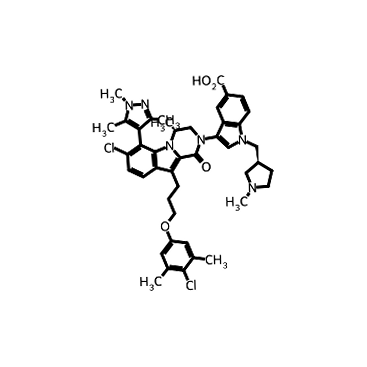 Cc1cc(OCCCc2c3n(c4c(-c5c(C)nn(C)c5C)c(Cl)ccc24)[C@H](C)CN(c2cn(C[C@H]4CCN(C)C4)c4ccc(C(=O)O)cc24)C3=O)cc(C)c1Cl